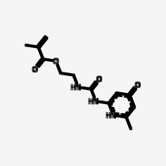 C=C(C)C(=O)OCCNC(=O)Nc1cc(=O)cc(C)[nH]1